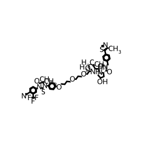 Cc1ncsc1-c1ccc(CNC(=O)[C@@H]2C[C@@H](O)CN2C(=O)C(NC(=O)COCCCOCCCCOc2ccc(N3C(=S)N(c4ccc(C#N)c(C(F)(F)F)c4)C(=O)C3(C)C)cc2)C(C)(C)C)cc1